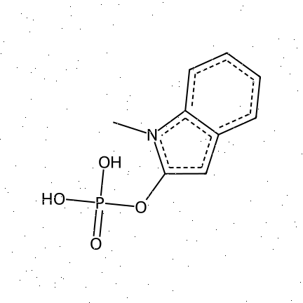 Cn1c(OP(=O)(O)O)cc2ccccc21